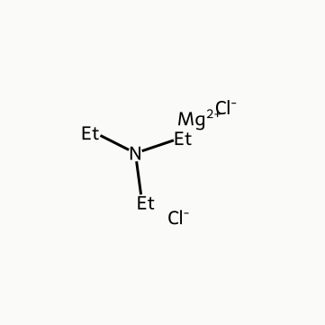 CCN(CC)CC.[Cl-].[Cl-].[Mg+2]